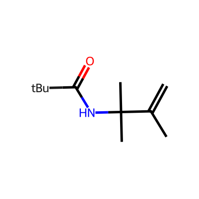 C=C(C)C(C)(C)NC(=O)C(C)(C)C